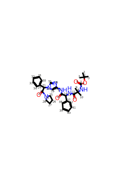 CC(C)(C)OC(=O)NC(C)(C)C(=O)NC(C(=O)Nc1cn(C(C(=O)N2CCCC2)c2ccccc2)cn1)c1ccccc1